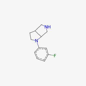 Fc1cccc(N2CCC3CNCC32)c1